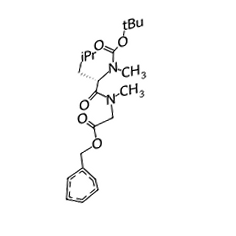 CC(C)C[C@@H](C(=O)N(C)CC(=O)OCc1ccccc1)N(C)C(=O)OC(C)(C)C